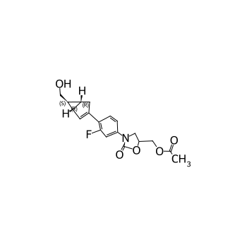 CC(=O)OCC1CN(c2ccc(C3=C[C@@H]4[C@@H](CO)[C@@H]4C3)c(F)c2)C(=O)O1